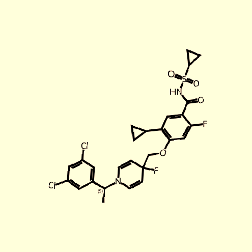 C[C@@H](c1cc(Cl)cc(Cl)c1)N1C=CC(F)(COc2cc(F)c(C(=O)NS(=O)(=O)C3CC3)cc2C2CC2)C=C1